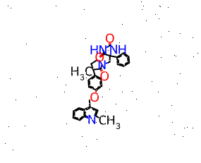 Cc1cc(COc2ccc(C3(C)CCN(CC4(c5ccccc5)NC(=O)NC4=O)C3=O)cc2)c2ccccc2n1